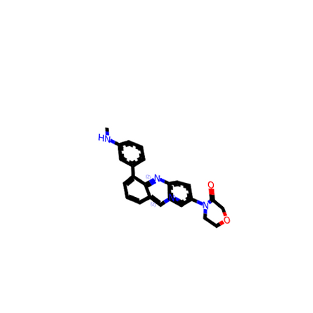 C=N/C=C1/C=CC=C(c2cccc(NC)c2)/C1=N/c1ccc(N2CCOCC2=O)cc1